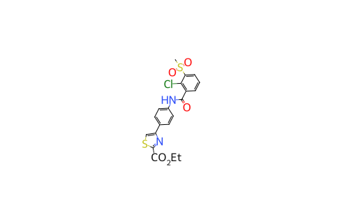 CCOC(=O)c1nc(-c2ccc(NC(=O)c3cccc(S(C)(=O)=O)c3Cl)cc2)cs1